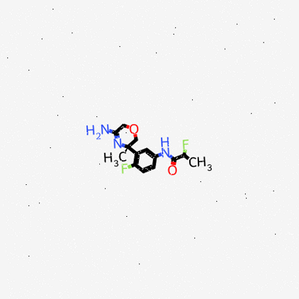 CC(F)C(=O)Nc1ccc(F)c([C@]2(C)COCC(N)=N2)c1